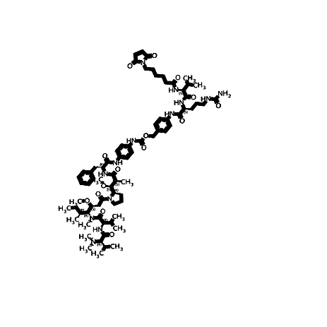 CC[C@@H](C)[C@H]([C@H](CC(=O)N1CCC[C@@H]1[C@@H](OC)[C@H](C)C(=O)N[C@H](Cc1ccccc1)C(=O)Nc1ccc(NC(=O)OCc2ccc(NC(=O)[C@H](CCCNC(N)=O)NC(=O)[C@@H](NC(=O)CCCCCN3C(=O)C=CC3=O)C(C)C)cc2)cc1)OC)N(C)C(=O)[C@H](NC(=O)[C@@H](C(C)C)N(C)C)C(C)C